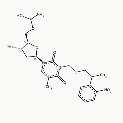 Cc1cn([C@H]2C[C@H](O)[C@@H](COP(N)O)O2)c(=O)n(COCC(C)c2ccccc2[N+](=O)[O-])c1=O